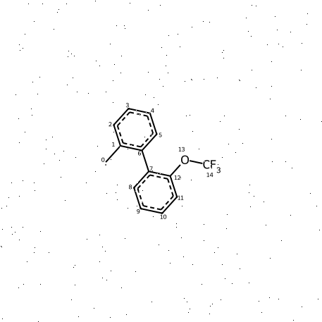 [CH2]c1ccccc1-c1ccccc1OC(F)(F)F